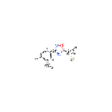 Cc1ccc(-c2noc([C@H]3C[C@@H]3F)n2)cc1[N+](=O)[O-]